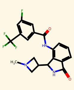 CN1CC(C2NC(=O)c3cccc(NC(=O)c4cc(F)cc(C(F)(F)F)c4)c32)C1